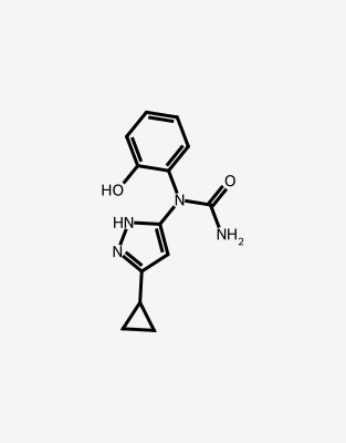 NC(=O)N(c1cc(C2CC2)n[nH]1)c1ccccc1O